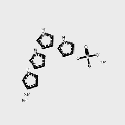 O=P([O-])([O-])[O-].[Na+].[Na+].[Na+].c1cc[nH]c1.c1cc[nH]c1.c1cc[nH]c1.c1cc[nH]c1